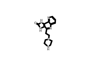 O=c1[nH]c2c(CCN3CCNCC3)nc3cccnc3c2[nH]1